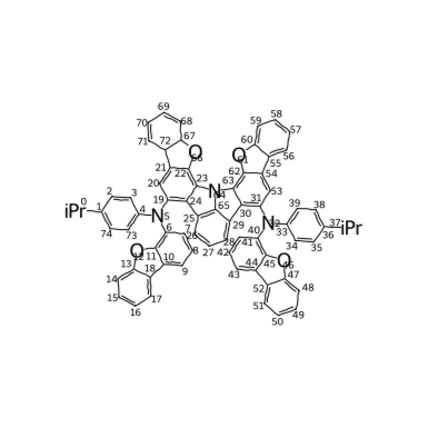 CC(C)c1ccc(N(c2cccc3c2oc2ccccc23)c2cc3c(c4c2c2cccc5c6c(N(c7ccc(C(C)C)cc7)c7cccc8c7oc7ccccc78)cc7c8ccccc8oc7c6n4c25)OC2C=CC=CC32)cc1